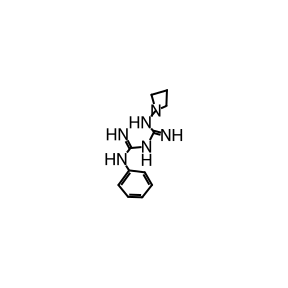 N=C(NC(=N)NN1CCC1)Nc1ccccc1